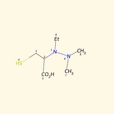 CCN(C(CS)C(=O)O)N(C)C